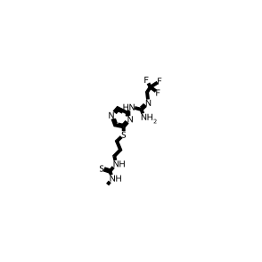 CNC(=S)NCCCSc1cncc(N/C(N)=N\CC(F)(F)F)n1